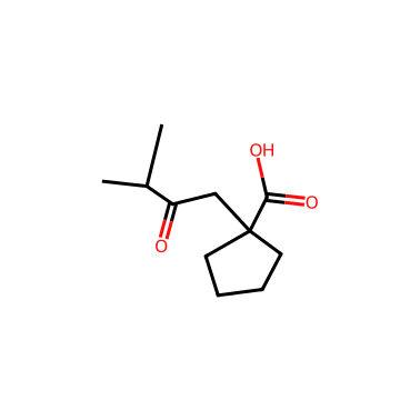 CC(C)C(=O)CC1(C(=O)O)CCCC1